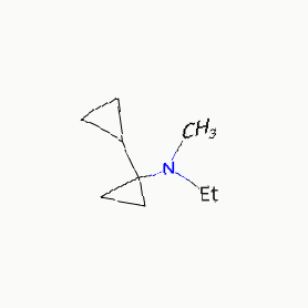 CCN(C)C1(C2CC2)CC1